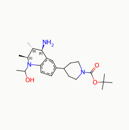 CC(O)N1c2ccc(C3CCN(C(=O)OC(C)(C)C)CC3)cc2[C@H](N)[C@@H](C)[C@@H]1C